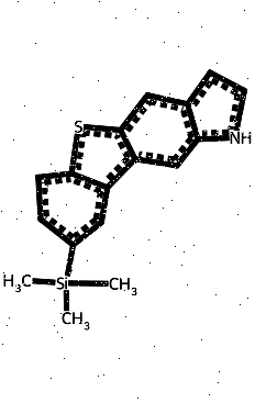 C[Si](C)(C)c1ccc2sc3cc4cc[nH]c4cc3c2c1